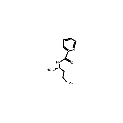 CSCC[C@H](NC(=O)c1ccccn1)C(=O)O